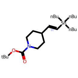 CCC[CH2][Sn](/[CH]=C/C1CCN(C(=O)OC(C)(C)C)CC1)([CH2]CCC)[CH2]CCC